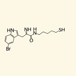 N=C(Cc1c[nH]c2ccc(Br)cc12)C(=O)NCCCCCS